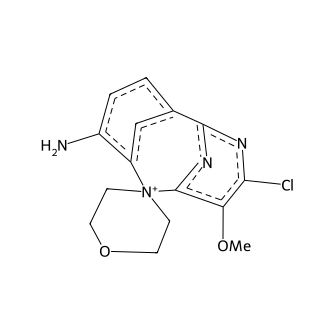 COc1c(Cl)nc2nc1[N+]1(CCOCC1)c1cc-2ccc1N